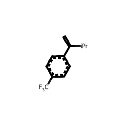 C=C(c1ccc(C(F)(F)F)cc1)C(C)C